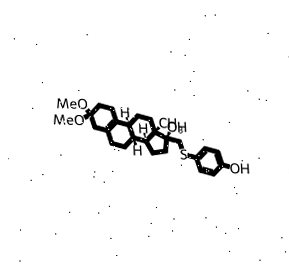 COC1(OC)CCC2=C(CC[C@@H]3[C@@H]2CC[C@@]2(C)[C@H]3CC[C@@]2(O)CSc2ccc(O)cc2)C1